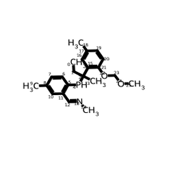 CCC(C)(Pc1ccc(C)cc1/C=N/C)c1cc(C)ccc1OCOC